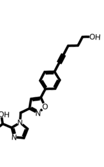 CC(O)c1nccn1Cc1cc(-c2ccc(C#CCCCO)cc2)on1